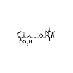 Cc1nc(C)c(COCCCCCc2ccccc2C(=O)O)nc1C